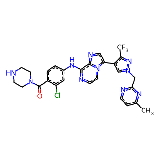 Cc1ccnc(Cn2cc(-c3cnc4c(Nc5ccc(C(=O)N6CCNCC6)c(Cl)c5)nccn34)c(C(F)(F)F)n2)n1